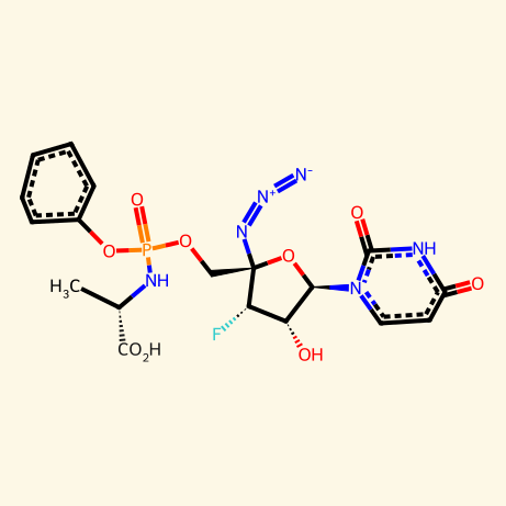 C[C@H](NP(=O)(OC[C@@]1(N=[N+]=[N-])O[C@@H](n2ccc(=O)[nH]c2=O)[C@H](O)[C@@H]1F)Oc1ccccc1)C(=O)O